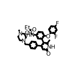 CCS(=O)(=O)Nc1ccc(Oc2ccc(F)cc2F)c(-c2c(-c3ccc(CN4CCN(C)CC4)cc3)cc(=O)[nH]c2C)c1